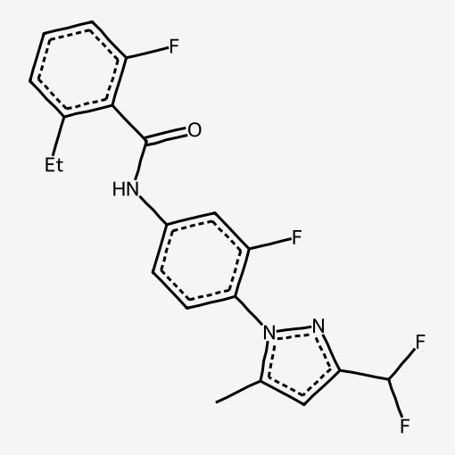 CCc1cccc(F)c1C(=O)Nc1ccc(-n2nc(C(F)F)cc2C)c(F)c1